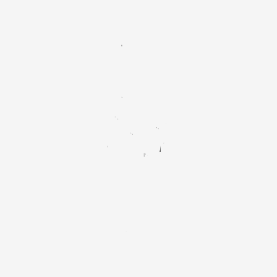 O=C(NCCc1ccc(C(F)(F)F)cc1)[C@@H]1CCN1c1cc(N2CCC(CO)CC2)nc(C(F)(F)F)n1